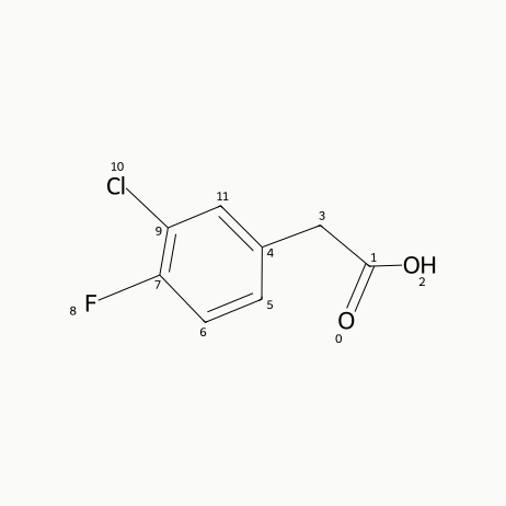 O=C(O)Cc1ccc(F)c(Cl)c1